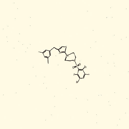 Cc1cc(C)cc(Cc2csc(N3CCN(S(=O)(=O)c4c(F)c(Br)cc(F)c4Br)CC3)n2)c1